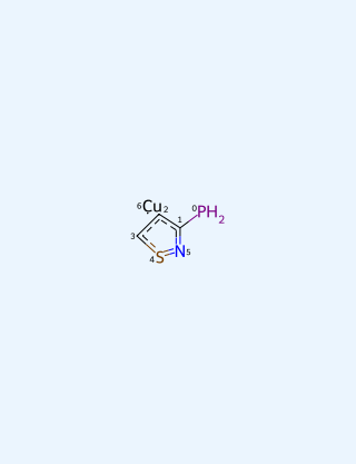 Pc1ccsn1.[Cu]